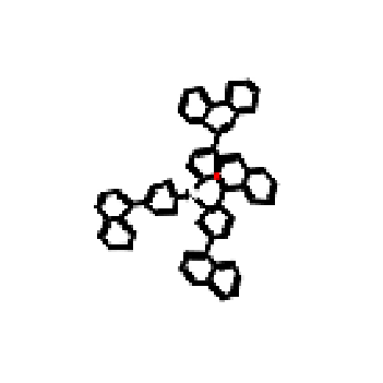 c1ccc2c(-c3ccc(N(c4ccc(-c5cc6ccccc6c6ccccc56)cc4)c4cc(-c5cccc6ccccc56)ccc4-c4cccc5ccccc45)cc3)cccc2c1